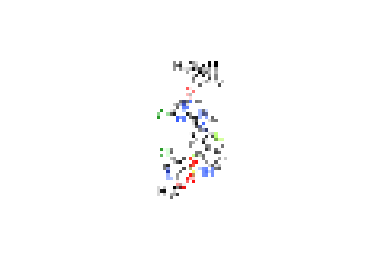 COc1ncc(Cl)cc1S(=O)(=O)Nc1ccc(F)c(-c2ccc3c(-c4nc(Cl)cn4COCC[Si](C)(C)C)ncn3c2F)c1F